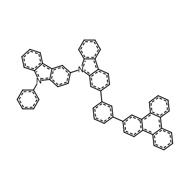 c1ccc(-n2c3ccccc3c3cc(-n4c5ccccc5c5ccc(-c6cccc(-c7ccc8c9ccccc9c9ccccc9c8c7)c6)cc54)ccc32)cc1